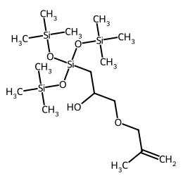 C=C(C)COCC(O)C[Si](O[Si](C)(C)C)(O[Si](C)(C)C)O[Si](C)(C)C